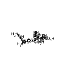 C[n+]1cc(-c2ccc(OC[C@H](O/N=C(/C(=O)N[C@@H]3C(=O)N(OS(=O)(=O)O)C3(C)C)c3csc(N)n3)C(=O)O)cc2)cn1CCCNCCN